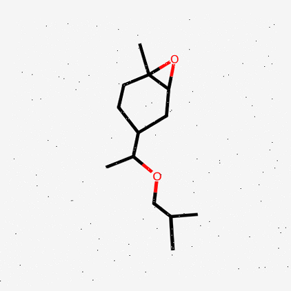 CC(C)COC(C)C1CCC2(C)OC2C1